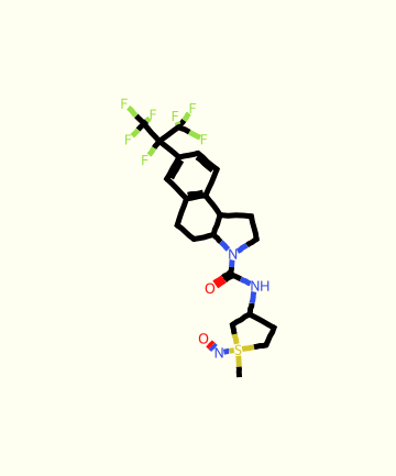 CS1(N=O)CCC(NC(=O)N2CCC3c4ccc(C(F)(C(F)(F)F)C(F)(F)F)cc4CCC32)C1